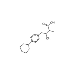 CC(C(=O)O)C(O)Cc1ccc(C2CCCCC2)cc1